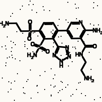 NCCNC(=O)c1cc(-c2ccc(S(=O)(=O)CCN)c(S(N)(=O)=O)c2-c2nn[nH]n2)cnc1N